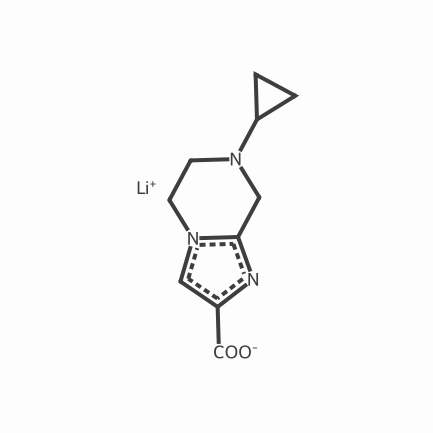 O=C([O-])c1cn2c(n1)CN(C1CC1)CC2.[Li+]